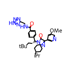 COc1cncc(C2=NC3(CCC(C(C)C)CC3)N([C@H](CCC(C)(C)C)c3ccc(C(=O)NCc4nn[nH]n4)cc3)C2=O)c1